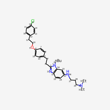 CCCCn1c(CCc2ccc(OCCc3ccc(Cl)cc3)cc2)nc2ccc(NCCCN(CC)CC)cc21